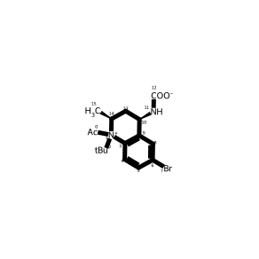 CC(=O)[N+]1(C(C)(C)C)c2ccc(Br)cc2[C@H](NC(=O)[O-])C[C@@H]1C